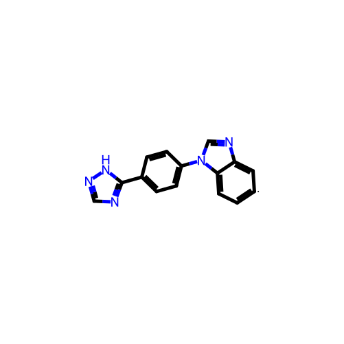 [c]1ccc2c(c1)ncn2-c1ccc(-c2ncn[nH]2)cc1